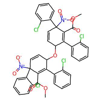 COC(=O)C1=C(c2ccccc2Cl)C(OC2C=CC(c3ccccc3Cl)([N+](=O)[O-])C(C(=O)OC)=C2c2ccccc2Cl)C=CC1(c1ccccc1Cl)[N+](=O)[O-]